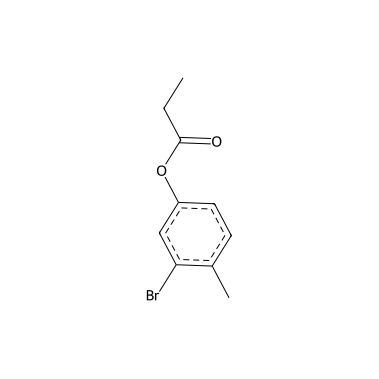 CCC(=O)Oc1ccc(C)c(Br)c1